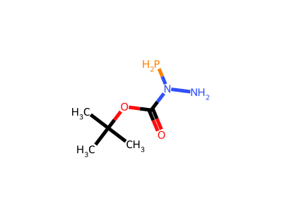 CC(C)(C)OC(=O)N(N)P